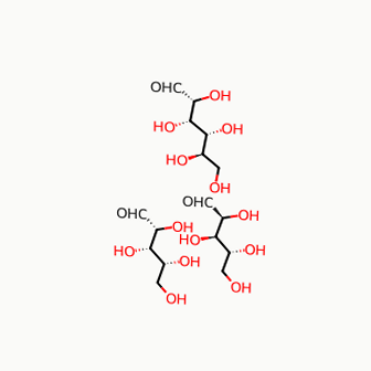 O=C[C@@H](O)[C@H](O)[C@H](O)CO.O=C[C@H](O)[C@@H](O)[C@H](O)CO.O=C[C@H](O)[C@@H](O)[C@H](O)[C@H](O)CO